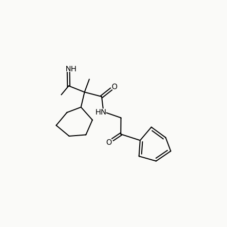 CC(=N)C(C)(C(=O)NCC(=O)c1ccccc1)C1CCCCC1